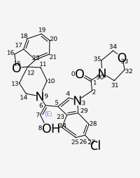 O=C(Cn1cc(/C(=C\O)N2CCC3(CC2)OCc2ccccc23)c2ccc(Cl)cc21)N1CCOCC1